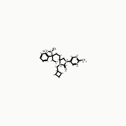 CCN(C)[C@]1(c2ccccc2)CC[C@]2(CC1)CN(c1cnc(C(F)(F)F)nc1)C(=O)N2CC1CCC1